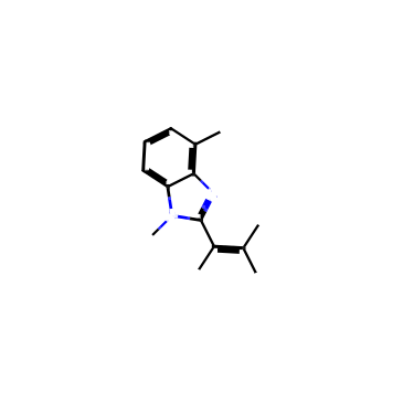 CC(C)=C(C)c1nc2c(C)cccc2n1C